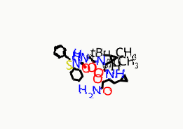 CC(C)(C)[C@H](NC(=O)NC1(SCc2ccccc2)CCCCC1)C(=O)N1CC2[C@@H]([C@H]1C(=O)NC(CC1CC1)C(=O)C(N)=O)C2(C)C